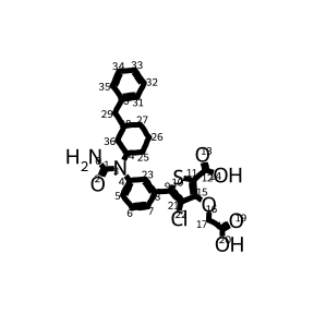 NC(=O)N(c1cccc(-c2sc(C(=O)O)c(OCC(=O)O)c2Cl)c1)C1CCCC(Cc2ccccc2)C1